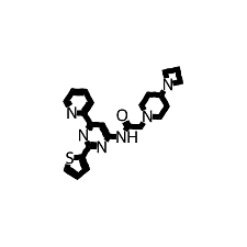 O=C(CN1CCC(N2CCC2)CC1)Nc1cc(-c2ccccn2)nc(-c2cccs2)n1